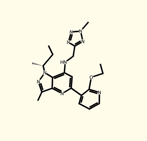 CCOc1ncccc1-c1cc(NCc2nnn(C)n2)c2c(n1)c(C)nn2[C@H](C)CC